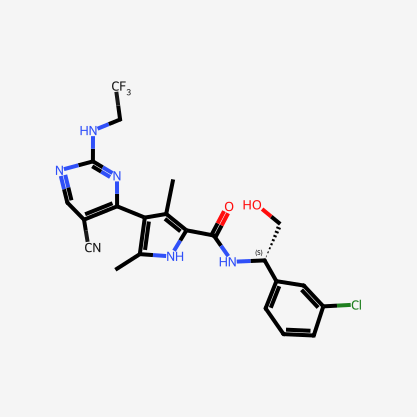 Cc1[nH]c(C(=O)N[C@H](CO)c2cccc(Cl)c2)c(C)c1-c1nc(NCC(F)(F)F)ncc1C#N